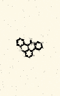 S=C(S)C1c2ccccc2Nc2cccc(-c3ccccc3)c21